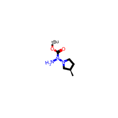 C[C@@H]1CCN(N(N)C(=O)OC(C)(C)C)C1